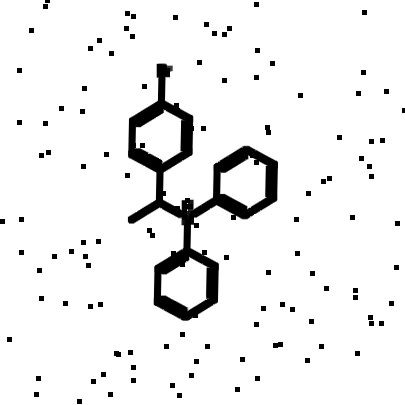 CC(c1ccc(Br)cc1)[SiH](c1ccccc1)c1ccccc1